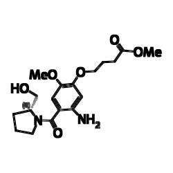 COC(=O)CCCOc1cc(N)c(C(=O)N2CCC[C@@H]2CO)cc1OC